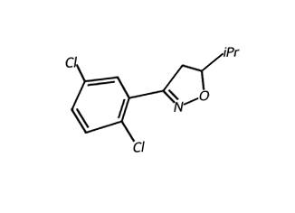 CC(C)C1CC(c2cc(Cl)ccc2Cl)=NO1